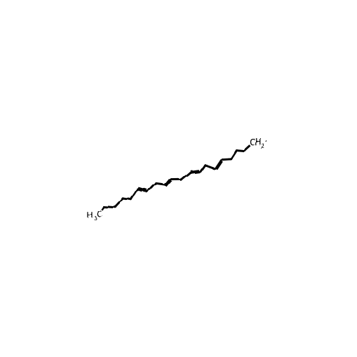 [CH2]CCCC=CCC=CCC=CCC=CCCCCC